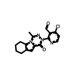 Cc1nn(-c2nccc(Cl)c2C=O)c(=O)c2cc3c(n12)CCCC3